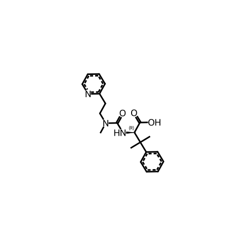 CN(CCc1ccccn1)C(=O)N[C@@H](C(=O)O)C(C)(C)c1ccccc1